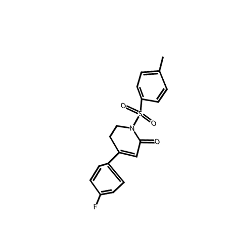 Cc1ccc(S(=O)(=O)N2CCC(c3ccc(F)cc3)=CC2=O)cc1